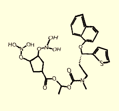 CC(OC(=O)C1CC(ON(O)O)C(ON(O)O)C1)OC(=O)N(C)CC[C@H](Oc1cccc2ccccc12)c1cccs1